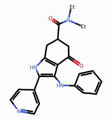 CCN(CC)C(=O)C1CC(=O)c2c([nH]c(-c3ccncc3)c2Nc2ccccc2)C1